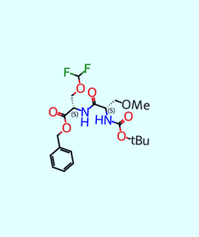 COC[C@H](NC(=O)OC(C)(C)C)C(=O)N[C@@H](COC(F)F)C(=O)OCc1ccccc1